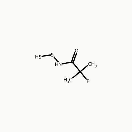 CC(C)(F)C(=O)NSS